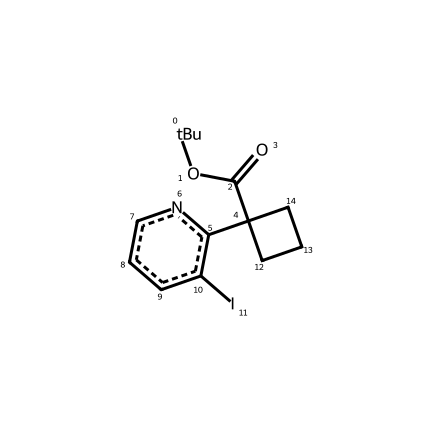 CC(C)(C)OC(=O)C1(c2ncccc2I)CCC1